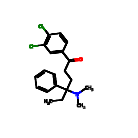 CCC(CCC(=O)c1ccc(Cl)c(Cl)c1)(c1ccccc1)N(C)C